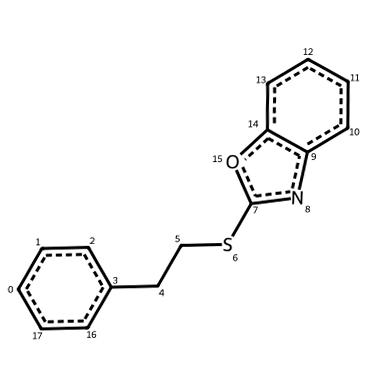 c1ccc(CCSc2nc3ccccc3o2)cc1